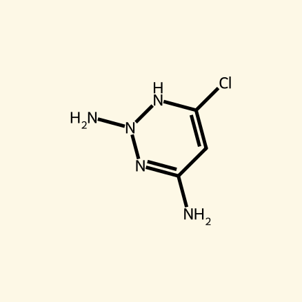 NC1=NN(N)NC(Cl)=C1